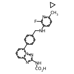 C1CC1.Cc1ccc(NCc2ccc(-c3cccc4nc(NC(=O)O)nn34)cc2)c(F)n1